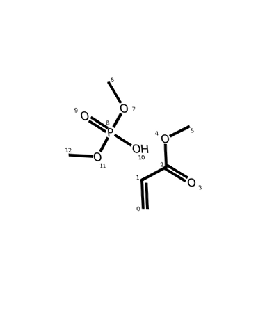 C=CC(=O)OC.COP(=O)(O)OC